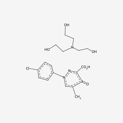 Cc1cn(-c2ccc(Cl)cc2)nc(C(=O)O)c1=O.OCCN(CCO)CCO